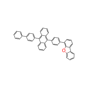 c1ccc(-c2ccc(-c3c4ccccc4c(-c4ccc(-c5cccc6c5oc5ccccc56)cc4)c4ccccc34)cc2)cc1